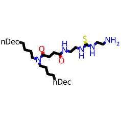 CCCCCCCCCCCCCCN(CCCCCCCCCCCCCC)C(=O)CCC(=O)NCCNC(=S)NCCN